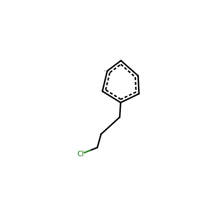 ClCCCc1c[c]ccc1